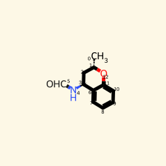 C[C@H]1C[C@H](NC=O)c2ccccc2O1